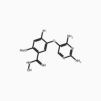 COc1cc(C(C)C)c(Oc2cnc(N)nc2N)cc1C(=N)NO